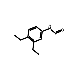 CCc1ccc(N[C]=O)cc1CC